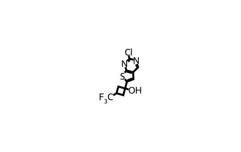 OC1(c2cc3cnc(Cl)nc3s2)CC(C(F)(F)F)C1